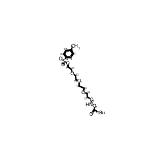 Cc1ccc(S(=O)(=O)OCCOCCOCCOCCONOC(=O)C(C)(C)C)cc1